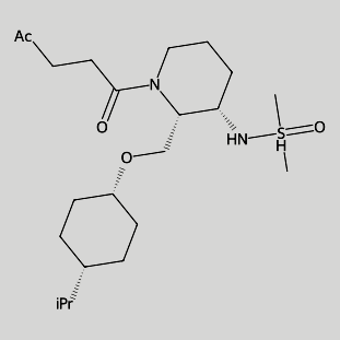 CC(=O)CCC(=O)N1CCC[C@H](N[SH](C)(C)=O)[C@@H]1CO[C@H]1CC[C@@H](C(C)C)CC1